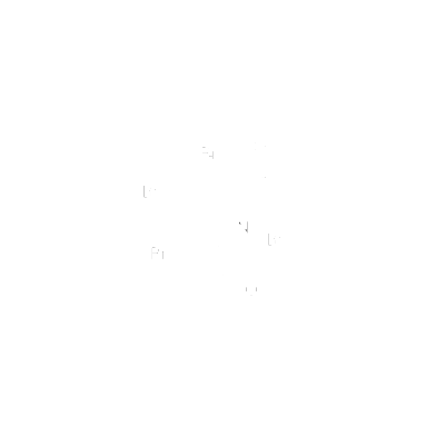 CC(=O)C1=C(Br)C(Br)=C(Br)C(C(C)=O)N1Br